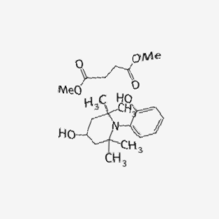 CC1(C)CC(O)CC(C)(C)N1c1ccccc1O.COC(=O)CCC(=O)OC